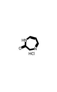 Cl.O=C1CN=CC=CN1